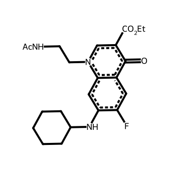 CCOC(=O)c1cn(CCNC(C)=O)c2cc(NC3CCCCC3)c(F)cc2c1=O